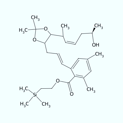 Cc1cc(C)c(C(=O)OCC[Si](C)(C)C)c(/C=C/CC2OC(C)(C)OC2C(C)/C=C\C[C@@H](C)O)c1